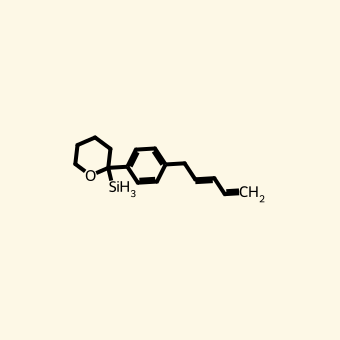 C=CC=CCc1ccc(C2([SiH3])CCCCO2)cc1